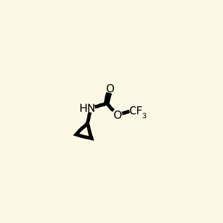 O=C(NC1CC1)OC(F)(F)F